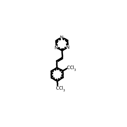 ClC(Cl)(Cl)c1ccc(C=Cc2ncncn2)c(C(Cl)(Cl)Cl)c1